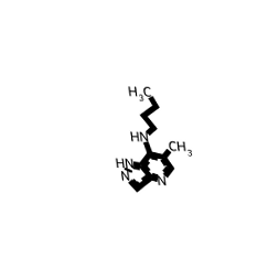 CCCCNc1c(C)cnc2cn[nH]c12